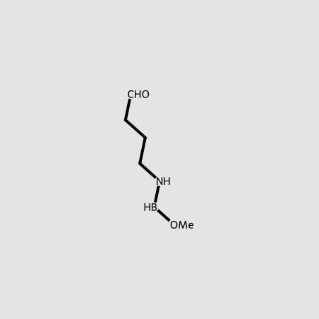 COBNCCCC=O